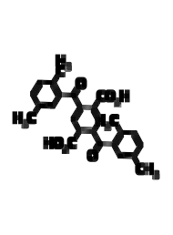 Cc1ccc(C)c(C(=O)c2cc(C(=O)O)c(C(=O)c3cc(C)ccc3C)cc2C(=O)O)c1